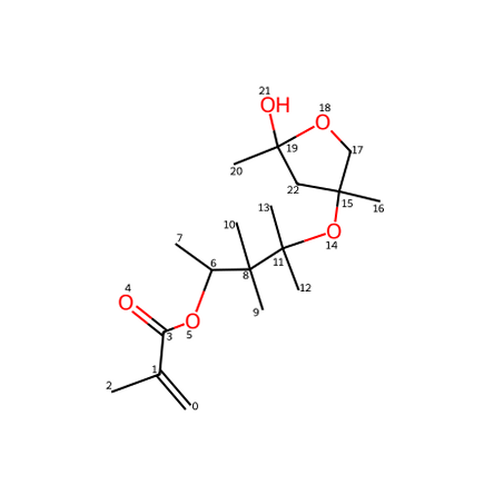 C=C(C)C(=O)OC(C)C(C)(C)C(C)(C)OC1(C)COC(C)(O)C1